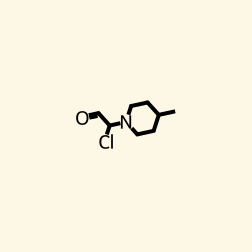 CC1CCN(C(Cl)C=O)CC1